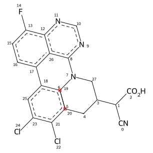 N#CC(C(=O)O)C1CCCN(c2ncnc3c(F)ccc(-c4ccc(Cl)c(Cl)c4)c23)C1